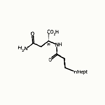 CCCCCCCCCC(=O)N[C@H](CC(N)=O)C(=O)O